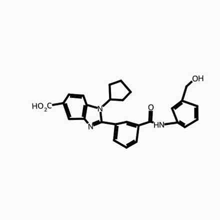 O=C(O)c1ccc2c(c1)nc(-c1cccc(C(=O)Nc3cccc(CO)c3)c1)n2C1CCCC1